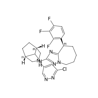 Fc1ccc([C@H]2CCCCn3nc(NC4[C@@H]5CC[C@H]4CN(c4cnnc(Cl)c4)C5)nc32)c(F)c1F